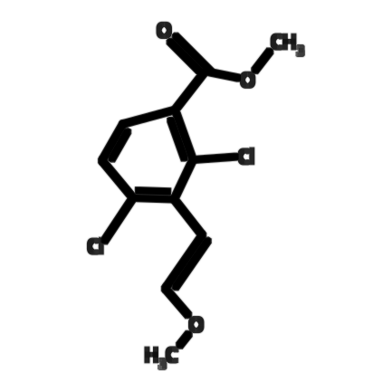 CO/C=C/c1c(Cl)ccc(C(=O)OC)c1Cl